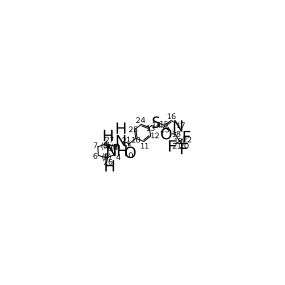 O=C(N[C@@H]1C[C@H]2CC[C@@H]1N2)c1ccc(Sc2cnc(C(F)(F)F)o2)cc1